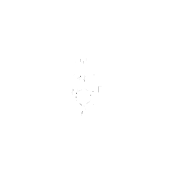 Fc1cc(Cl)cnc1N1CCOCC1